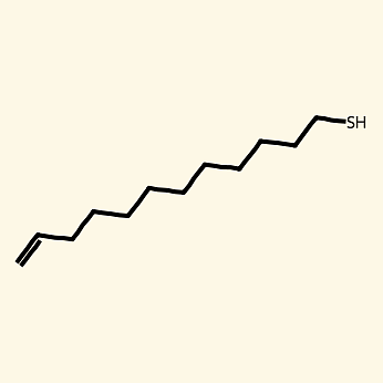 C=CCCCCCCCCCCS